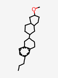 CCCc1ccc2c(c1)CCC(C1CCC3CC(OC)CCC3C1)C2